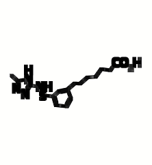 Cc1nnc(NSc2cccc(CCCCCCC(=O)O)c2)[nH]1